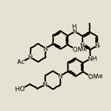 COc1cc(N2CCN(CCO)CC2)ccc1Nc1ncc(C)c(Nc2ccc(N3CCN(C(C)=O)CC3)cc2OC)n1